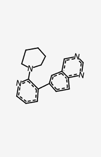 c1cnc(N2CCCCC2)c(-c2ccc3ncncc3c2)c1